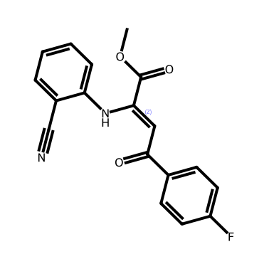 COC(=O)/C(=C/C(=O)c1ccc(F)cc1)Nc1ccccc1C#N